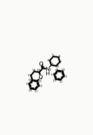 O=C(N[C@H]1CCCC[C@@H]1c1ccccc1)C1CCc2ccccc2O1